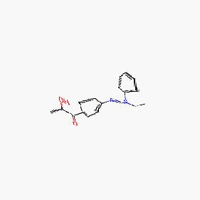 CCN(C=Nc1ccc(C(=O)C(C)O)cc1)c1ccccc1